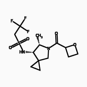 C[C@H]1[C@@H](NS(=O)(=O)CC(F)(F)F)C2(CC2)CN1C(=O)C1CCO1